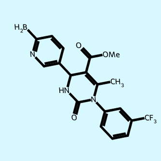 Bc1ccc(C2NC(=O)N(c3cccc(C(F)(F)F)c3)C(C)=C2C(=O)OC)cn1